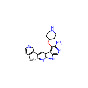 COc1ccncc1-c1cnc2[nH]c3cnc(N)c(OC4CCNCC4)c3c2c1